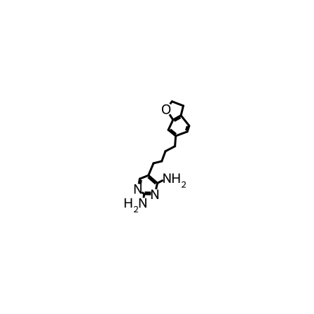 Nc1ncc(CCCCc2ccc3c(c2)OCC3)c(N)n1